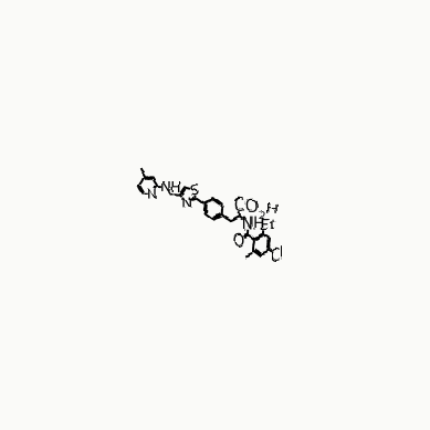 CCc1cc(Cl)cc(C)c1C(=O)NC(Cc1ccc(-c2nc(CNc3cc(C)ccn3)cs2)cc1)C(=O)O